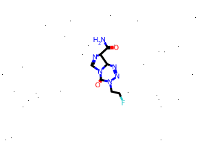 NC(=O)C1N=CN2C(=O)N(CCF)N=NC12